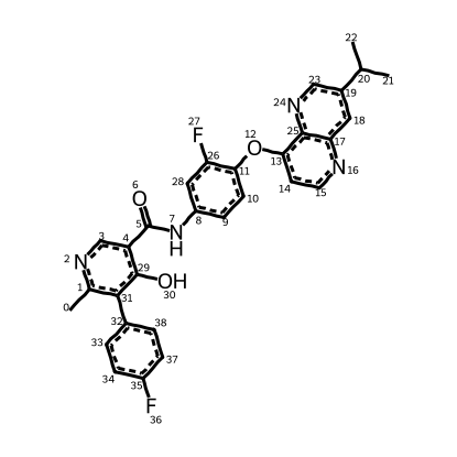 Cc1ncc(C(=O)Nc2ccc(Oc3ccnc4cc(C(C)C)cnc34)c(F)c2)c(O)c1-c1ccc(F)cc1